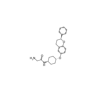 NCC(=O)N[C@H]1CC[C@H](Oc2ccc3c(c2)CC[C@@H](c2ccccc2)O3)CC1